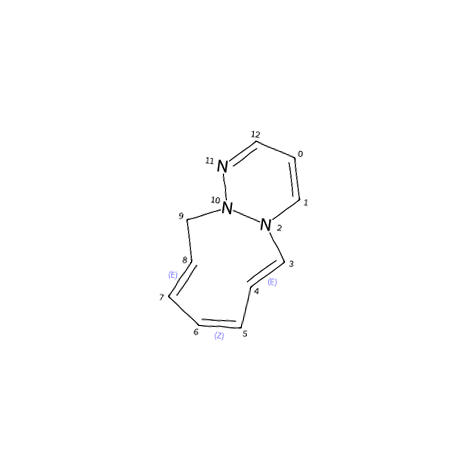 C1=CN2/C=C/C=C\C=C\CN2N=C1